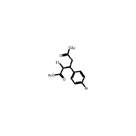 CCC(C(=O)OC(C)=O)C(CC(=O)OC(C)=O)c1ccc(Br)cc1